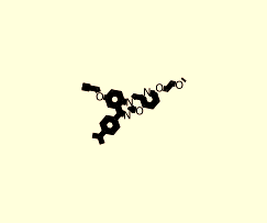 C#CCOc1ccc2c(c1)c(-c1ccc(C(C)C)cc1)nc(=O)n2Cc1cccc(OCCOC)n1